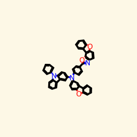 c1ccc(-n2c3ccccc3c3cc(N(c4ccc(-c5nc6ccc7oc8ccccc8c7c6o5)cc4)c4ccc5oc6ccccc6c5c4)ccc32)cc1